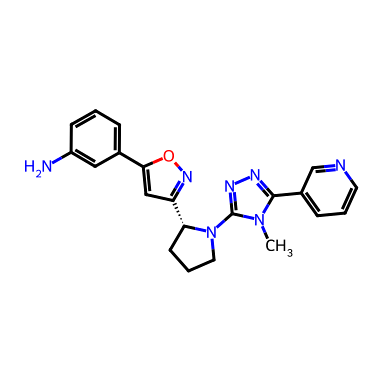 Cn1c(-c2cccnc2)nnc1N1CCC[C@@H]1c1cc(-c2cccc(N)c2)on1